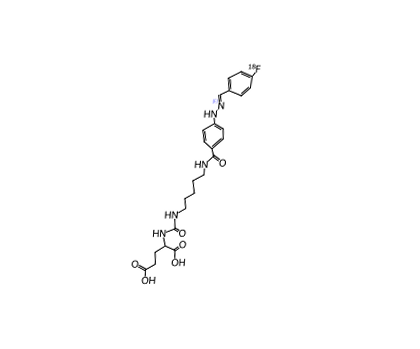 O=C(O)CCC(NC(=O)NCCCCCNC(=O)c1ccc(N/N=C/c2ccc([18F])cc2)cc1)C(=O)O